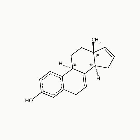 C[C@@]12C=CC[C@H]1C1=CCc3cc(O)ccc3[C@H]1CC2